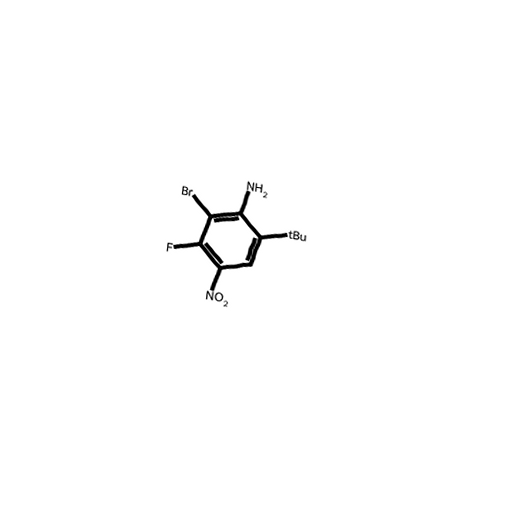 CC(C)(C)c1cc([N+](=O)[O-])c(F)c(Br)c1N